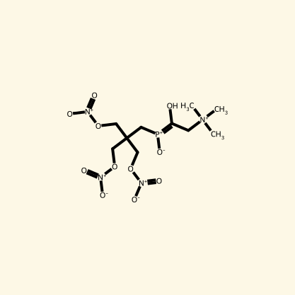 C[N+](C)(C)C/C(O)=[P+](\[O-])CC(CO[N+](=O)[O-])(CO[N+](=O)[O-])CO[N+](=O)[O-]